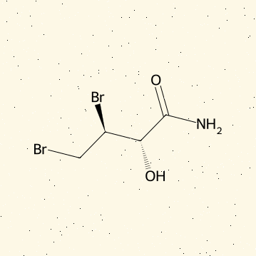 NC(=O)[C@H](O)[C@H](Br)CBr